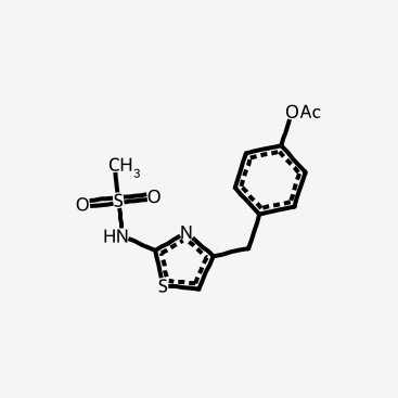 CC(=O)Oc1ccc(Cc2csc(NS(C)(=O)=O)n2)cc1